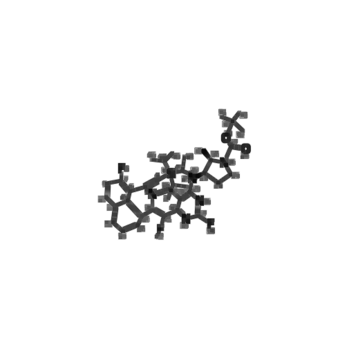 CC(C)[Si](C#Cc1c(F)ccc2cccc(-c3ncc4c(N(C)[C@@H]5CCN(C(=O)OC(C)(C)C)[C@@H]5C)nc(F)nc4c3F)c12)(C(C)C)C(C)C